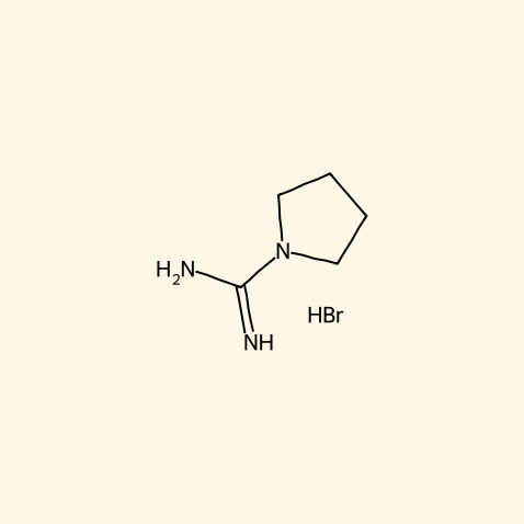 Br.N=C(N)N1CCCC1